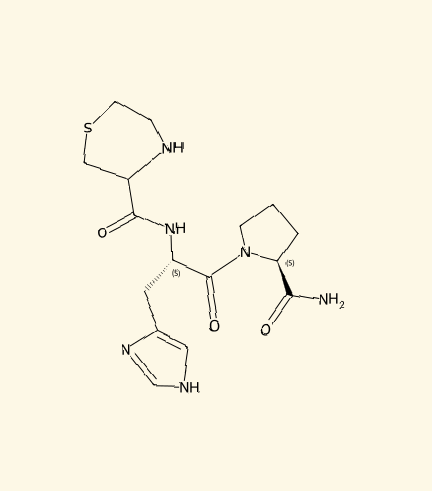 NC(=O)[C@@H]1CCCN1C(=O)[C@H](Cc1c[nH]cn1)NC(=O)C1CSCCN1